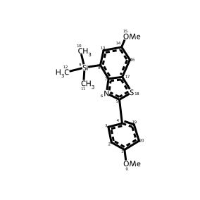 COc1ccc(-c2nc3c([Si](C)(C)C)cc(OC)cc3s2)cc1